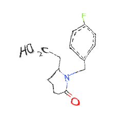 O=C(O)CC1CCC(=O)N1Cc1ccc(F)cc1